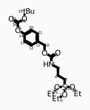 CCO[Si](CCCNC(=O)OCc1ccc(OC(=O)OC(C)(C)C)cc1)(OCC)OCC